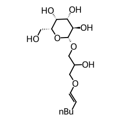 CCCCC=COCC(O)CO[C@@H]1O[C@H](CO)[C@H](O)[C@H](O)[C@H]1O